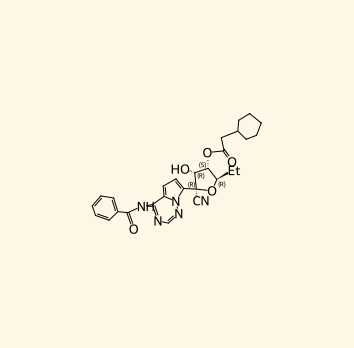 CC[C@H]1O[C@@](C#N)(c2ccc3c(NC(=O)c4ccccc4)ncnn23)[C@H](O)[C@@H]1OC(=O)CC1CCCCC1